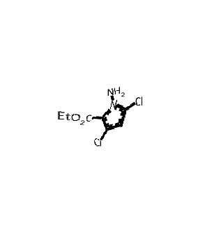 CCOC(=O)c1c(Cl)cc(Cl)n1N